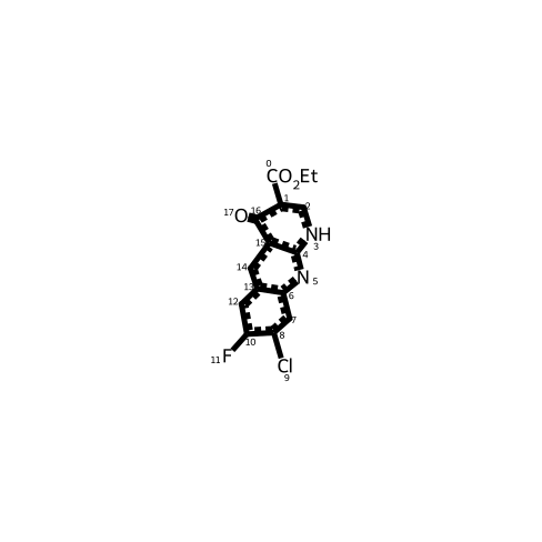 CCOC(=O)c1c[nH]c2nc3cc(Cl)c(F)cc3cc2c1=O